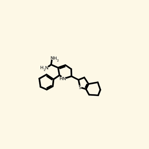 NC(N)C1=CCC(C2CC3=C(CCCC3)S2)NC1C1=CCCC=C1